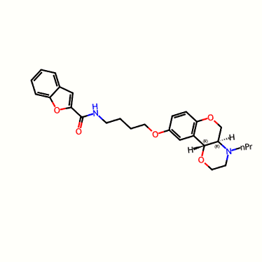 CCCN1CCO[C@@H]2c3cc(OCCCCNC(=O)c4cc5ccccc5o4)ccc3OC[C@H]21